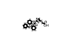 O=C(O)CSc1cnc(NC(=O)N(C2CCCCC2)C2(OCc3ccccc3)CCCCC2)s1